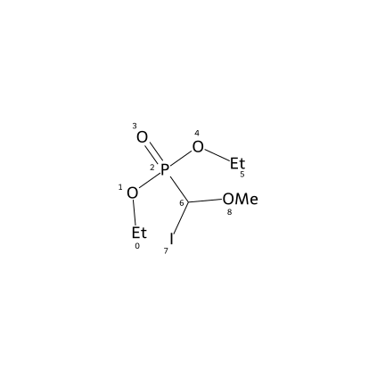 CCOP(=O)(OCC)C(I)OC